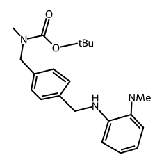 CNc1ccccc1NCc1ccc(CN(C)C(=O)OC(C)(C)C)cc1